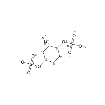 O=S(=O)([O-])OC1CCC(OS(=O)(=O)[O-])CC1.[Li+].[Li+]